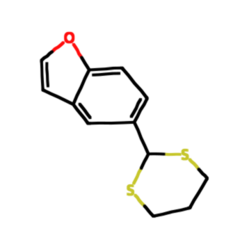 c1cc2cc(C3SCCCS3)ccc2o1